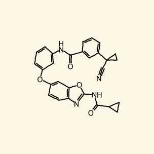 N#CC1(c2cccc(C(=O)Nc3cccc(Oc4ccc5nc(NC(=O)C6CC6)oc5c4)c3)c2)CC1